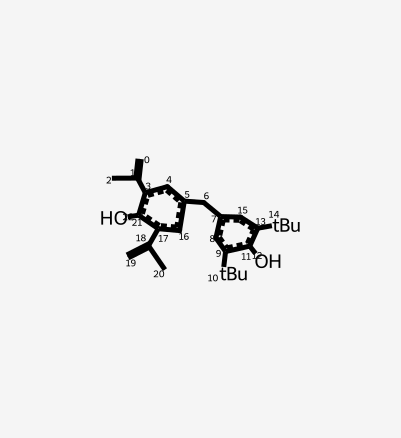 C=C(C)c1cc(Cc2cc(C(C)(C)C)c(O)c(C(C)(C)C)c2)cc(C(=C)C)c1O